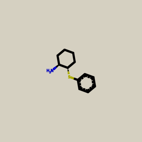 N[C@H]1CCCC[C@@H]1Sc1ccccc1